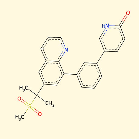 CC(C)(c1cc(-c2cccc(-c3ccc(=O)[nH]c3)c2)c2ncccc2c1)S(C)(=O)=O